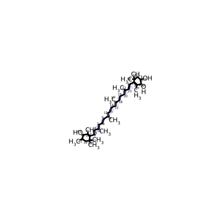 CC1=C(/C=C/C(C)=C/C=C/C(C)=C/C=C/C=C(C)/C=C/C=C(C)/C=C/C2=C(C)C(O)C(O)CC2(C)C)C(C)(C)CC(C)C1O